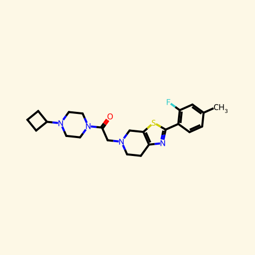 Cc1ccc(-c2nc3c(s2)CN(CC(=O)N2CCN(C4CCC4)CC2)CC3)c(F)c1